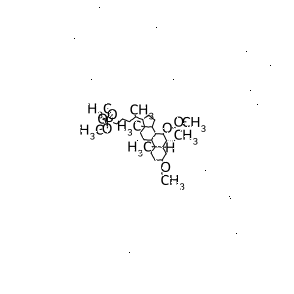 CCO[C@@H]1CC[C@]2(C)C3CC[C@@]4(C)C(CC[C@@H]4[C@H](C)CCCP(=O)(OC)OC)C3[C@H](OCOC)[C@H](CC)[C@@H]2C1